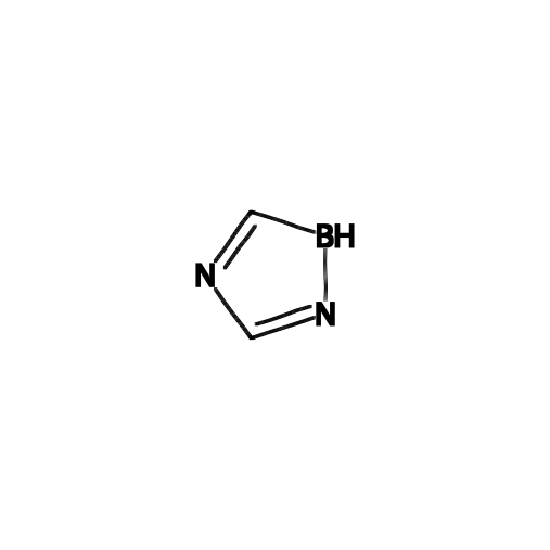 B1C=NC=N1